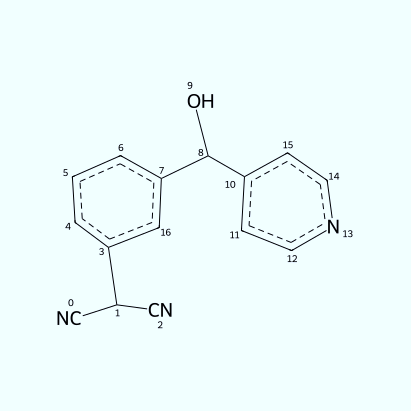 N#CC(C#N)c1cccc(C(O)c2ccncc2)c1